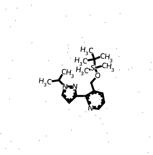 CC(C)n1ccc(-c2ncccc2CO[Si](C)(C)C(C)(C)C)n1